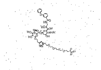 CCNC(=O)CCOCCOCCOCCOCCn1cc(CCO[C@@H]2O[C@H](CO[C@]3(C(=O)O)C[C@H](O)[C@@H](NC(C)=O)[C@H]([C@H](O)[C@H](O)CNC(=O)c4cccc(Oc5ccccc5)c4)O3)[C@H](O)[C@H](O)[C@H]2O)nn1